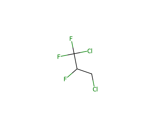 FC(CCl)C(F)(F)Cl